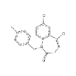 Cc1ccc(CN2C(=O)CN=C(Cl)c3cc(Cl)ccc32)cc1